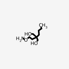 CCCCC(CO)(CO)CCON